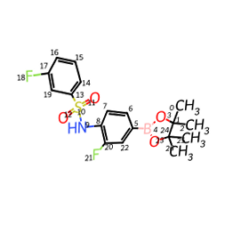 CC1(C)OB(c2ccc(NS(=O)(=O)c3cccc(F)c3)c(F)c2)OC1(C)C